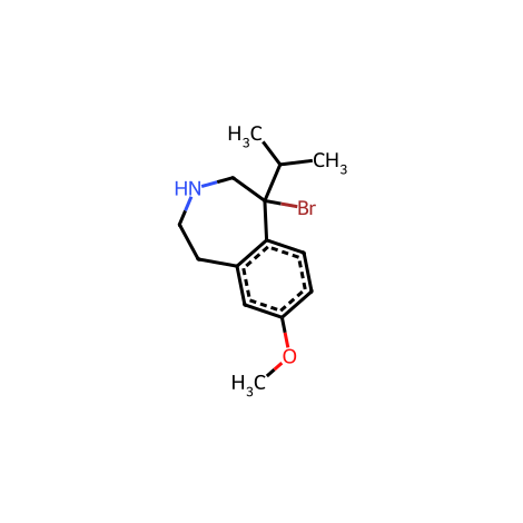 COc1ccc2c(c1)CCNCC2(Br)C(C)C